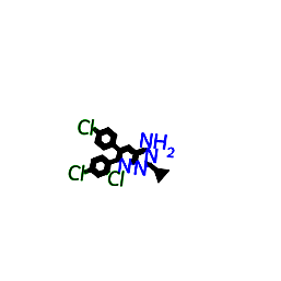 Nc1nc(C2CC2)nc2nc(-c3ccc(Cl)cc3Cl)c(-c3ccc(Cl)cc3)cc12